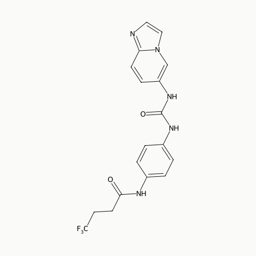 O=C(CCC(F)(F)F)Nc1ccc(NC(=O)Nc2ccc3nccn3c2)cc1